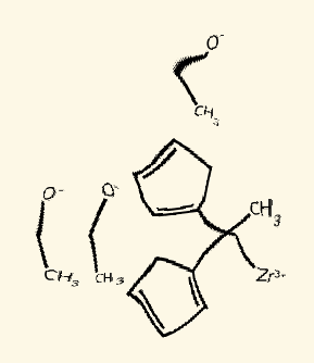 CC[O-].CC[O-].CC[O-].C[C]([Zr+3])(C1=CC=CC1)C1=CC=CC1